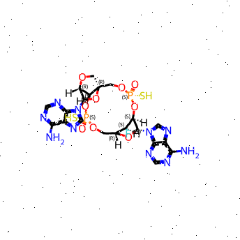 Nc1ncnc2c1ncn2[C@@H]1O[C@@H]2CO[P@](=O)(S)O[C@H]3[C@H]4OC[C@]3(CO[P@](=O)(S)O[C@@H]1[C@H]2F)O[C@H]4n1cnc2c(N)ncnc21